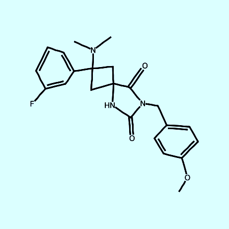 COc1ccc(CN2C(=O)NC3(CC(c4cccc(F)c4)(N(C)C)C3)C2=O)cc1